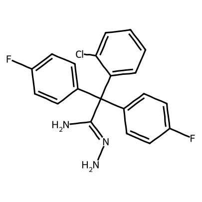 NN=C(N)C(c1ccc(F)cc1)(c1ccc(F)cc1)c1ccccc1Cl